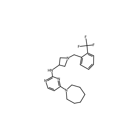 FC(F)(F)c1ccccc1CN1CC(Nc2nccc(N3CCCCCC3)n2)C1